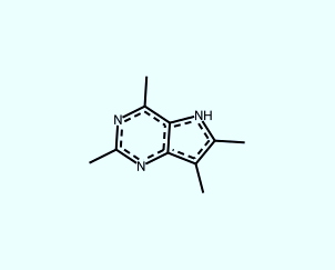 Cc1nc(C)c2[nH]c(C)c(C)c2n1